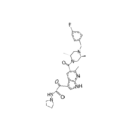 Cc1nc2[nH]cc(C(=O)C(=O)NN3CCCC3)c2cc1C(=O)N1C[C@H](C)N(Cc2ccc(F)cc2)C[C@H]1C